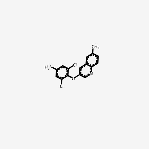 Cc1ccc2ncc(Oc3c(Cl)cc(N)cc3Cl)cc2c1